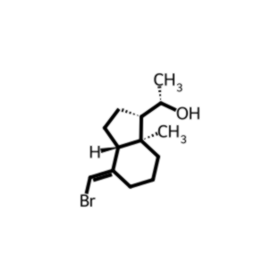 C[C@H](O)[C@H]1CC[C@H]2C(=CBr)CCC[C@]12C